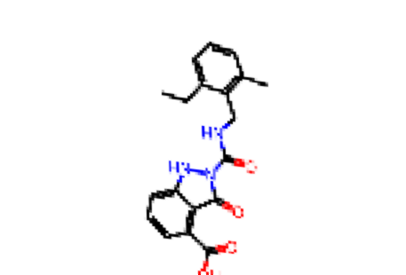 CCc1cccc(C)c1CNC(=O)n1[nH]c2cccc(C(=O)O)c2c1=O